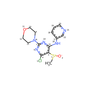 C[S+]([O-])c1c(Cl)nc(N2CCOCC2)nc1Nc1cccnc1